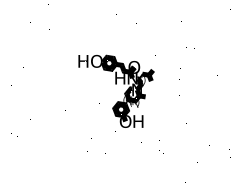 CC(C)C[C@@H](CN1CC[C@@H](c2cccc(O)c2)[C@@H](C)C1C)NC(=O)CCc1ccc(O)cc1